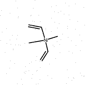 C=[CH][Ni]([CH3])([CH3])[CH]=C